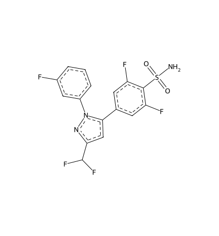 NS(=O)(=O)c1c(F)cc(-c2cc(C(F)F)nn2-c2cccc(F)c2)cc1F